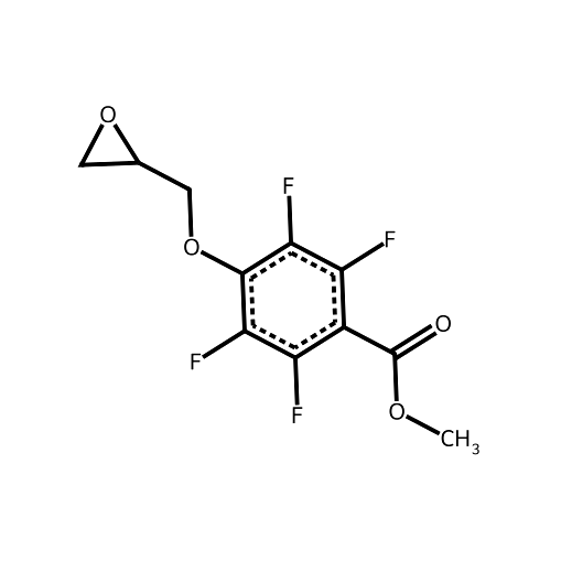 COC(=O)c1c(F)c(F)c(OCC2CO2)c(F)c1F